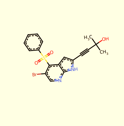 CC(C)(O)C#Cc1cc2c(S(=O)(=O)c3ccccc3)c(Br)cnc2[nH]1